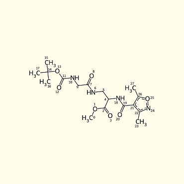 COC(=O)C(CNC(=O)CNC(=O)OC(C)(C)C)NC(=O)c1c(C)noc1C